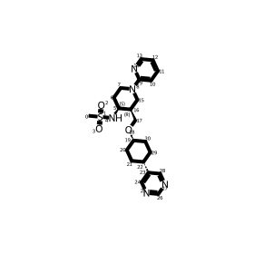 CS(=O)(=O)N[C@H]1CCN(c2ccccn2)C[C@H]1CO[C@H]1CC[C@@H](c2cncnc2)CC1